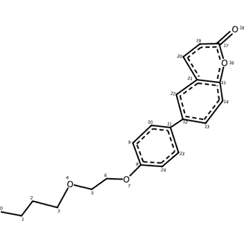 CCCCOCCOc1ccc(-c2ccc3oc(=O)ccc3c2)cc1